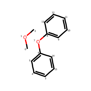 COC.c1ccc(Oc2ccccc2)cc1